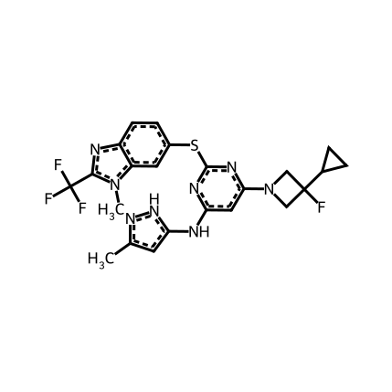 Cc1cc(Nc2cc(N3CC(F)(C4CC4)C3)nc(Sc3ccc4nc(C(F)(F)F)n(C)c4c3)n2)[nH]n1